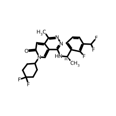 Cc1nnc(N[C@H](C)c2cccc(C(F)F)c2F)c2cn(C3CCC(F)(F)CC3)c(=O)cc12